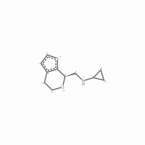 c1cc2c(s1)[C@@H](CNC1CC1)OCC2